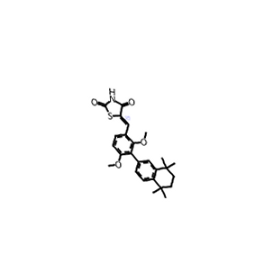 COc1ccc(/C=C2\SC(=O)NC2=O)c(OC)c1-c1ccc2c(c1)C(C)(C)CCC2(C)C